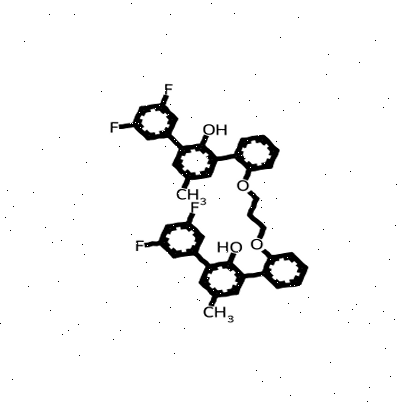 Cc1cc(-c2cc(F)cc(F)c2)c(O)c(-c2ccccc2OCCCOc2ccccc2-c2cc(C)cc(-c3cc(F)cc(F)c3)c2O)c1